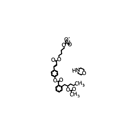 C1COCCN1.CCCC(Cc1ccccc1C(=O)Oc1ccc(C=CC(=O)OCCCCO[N+](=O)[O-])cc1)OC(C)=O